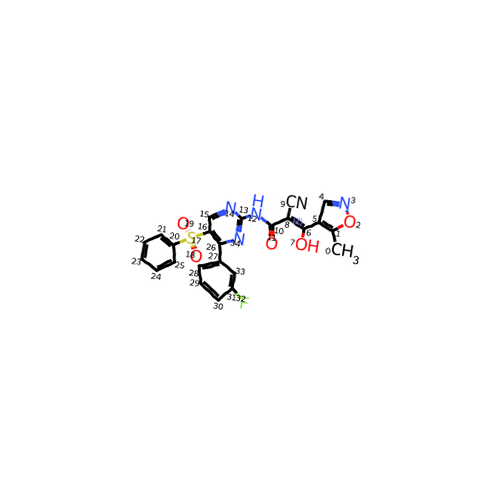 Cc1oncc1/C(O)=C(\C#N)C(=O)Nc1ncc(S(=O)(=O)c2ccccc2)c(-c2cccc(F)c2)n1